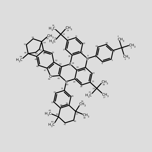 CC(C)(C)c1ccc(N2c3ccc(C(C)(C)C)cc3B3c4c2cc(C(C)(C)C)cc4N(c2ccc4c(c2)C(C)(C)CCC4(C)C)c2oc4cc5c(cc4c23)C2(C)CCC5(C)CC2)cc1